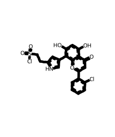 O=c1cc(-c2ccccc2Cl)oc2c(-c3c[nH]c(CCS(=O)(=O)Cl)c3)c(O)cc(O)c12